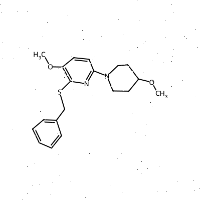 COc1ccc(N2CCC(OC)CC2)nc1SCc1ccccc1